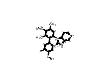 CCOc1ccc(-c2c(-n3c(=O)[nH]c4cnccc43)cc(OC)c(OC)c2OC)cc1F